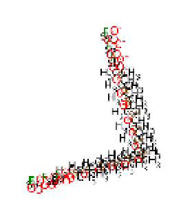 C[S+](C)(C)=O.C[S+](C)(C)=O.C[S+](C)(C)=O.C[S+](C)(C)=O.C[S+](C)(C)=O.C[S+](C)(C)=O.C[S+](C)(C)=O.C[S+](C)(C)=O.C[S+](C)(C)=O.C[S+](C)(C)=O.C[S+](C)(C)=O.C[S+](C)(C)=O.[O]=[Sb]([O-])([O-])[F].[O]=[Sb]([O-])([O-])[F].[O]=[Sb]([O-])([O-])[F].[O]=[Sb]([O-])([O-])[F].[O]=[Sb]([O-])([O-])[F].[O]=[Sb]([O-])([O-])[F]